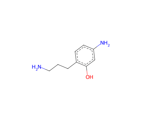 NCCCc1ccc(N)cc1O